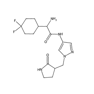 NC(C(=O)Nc1cnn(CC2CCNC2=O)c1)C1CCC(F)(F)CC1